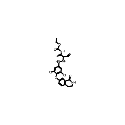 CCOC(=O)NC(=O)C(C#N)NNc1cc(Cl)c(Oc2ccc3c(c2)C(=O)NCC3)c(Cl)c1